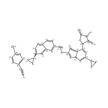 CN1C(=O)CN(c2cc(C3CC3)cn3cc(CNc4ccc5ccc([C@H]6C[C@@H]6c6cc(Cl)ccc6C#N)nc5c4)nc23)C1=O